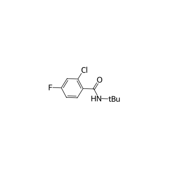 CC(C)(C)NC(=O)c1ccc(F)cc1Cl